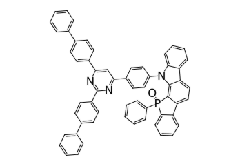 O=P1(c2ccccc2)c2ccccc2-c2ccc3c4ccccc4n(-c4ccc(-c5cc(-c6ccc(-c7ccccc7)cc6)nc(-c6ccc(-c7ccccc7)cc6)n5)cc4)c3c21